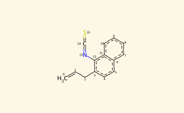 C=CCc1ccc2ccccc2c1N=C=S